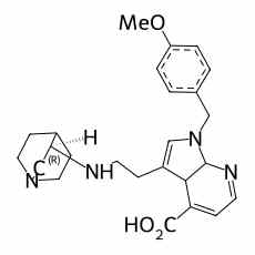 COc1ccc(CN2C=C(CCN[C@H]3CN4CCC3CC4)C3C(C(=O)O)=CC=NC32)cc1